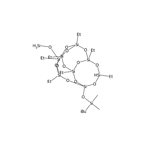 CCC(C)[Si](C)(C)O[Si]12O[SiH](CC)O[Si]3(CC)O[Si]4(CC)O[Si](CC)(O[SiH3])O[Si](CC)(O[Si](CC)(O4)O[Si](CC)(O3)O1)O2